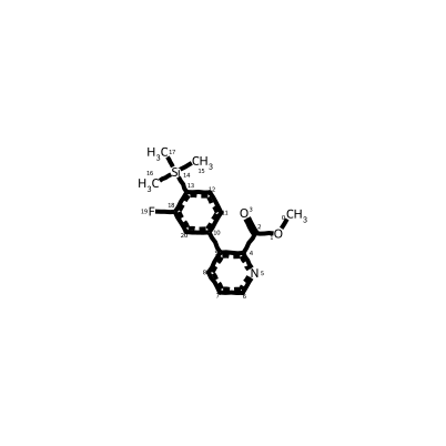 COC(=O)c1ncccc1-c1ccc([Si](C)(C)C)c(F)c1